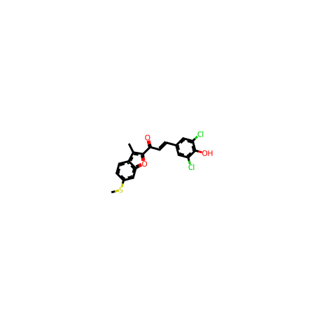 CSc1ccc2c(C)c(C(=O)/C=C/c3cc(Cl)c(O)c(Cl)c3)oc2c1